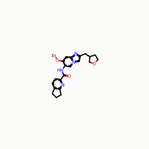 CCOc1cc2nc(CC3CCOC3)cn2cc1NC(=O)c1ccc2c(n1)CCC2